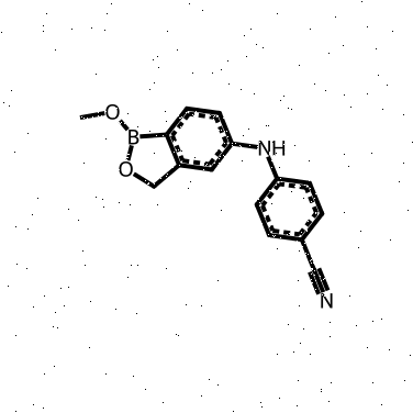 COB1OCc2cc(Nc3ccc(C#N)cc3)ccc21